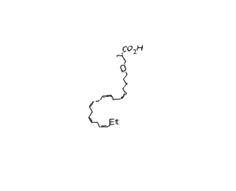 CC/C=C\C/C=C\C/C=C\C/C=C\C/C=C\CCCCOCC(C)C(=O)O